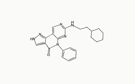 O=c1c2c[nH]nc2c2cnc(NCCC3CCCCC3)nc2n1-c1ccccc1